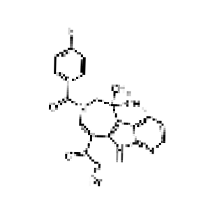 CC(C)OC(=O)C1=CN(C(=O)c2ccc(F)cc2)CC(C)(C)c2c1[nH]c1ncccc21